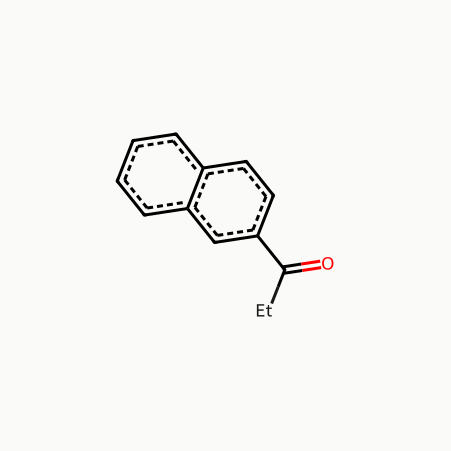 [CH2]CC(=O)c1ccc2ccccc2c1